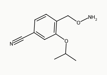 CC(C)Oc1cc(C#N)ccc1CON